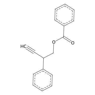 C#CC(COC(=O)c1ccccc1)c1ccccc1